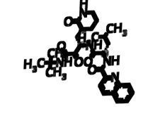 CC(C)C[C@H](NC(=O)c1ccc2ccccc2n1)C(=O)N[C@@H](C[C@@H]1CCCNC1=O)C(=O)C(=O)NC(C)(C)C